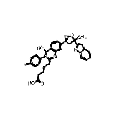 CC1(C2=NN3C=CC=CC3C2)CC(c2ccc3c(c2)N=C(CCCCC(=O)O)N(c2ccc(F)cc2)C3O)=NO1